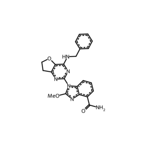 COc1nc2c(C(N)=O)cccc2n1-c1nc2c(c(NCc3ccccc3)n1)OCC2